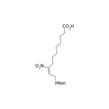 CCCCCCCCCC/C=C(\CCCCCCCC(=O)O)[N+](=O)[O-]